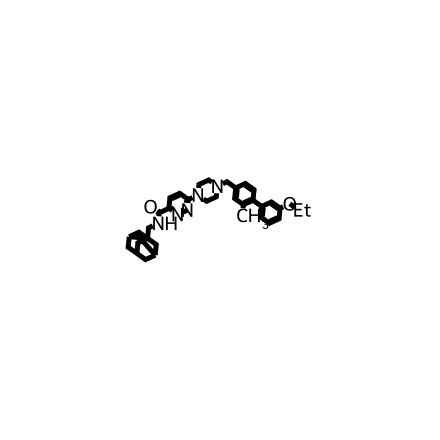 CCOc1cccc(-c2ccc(CN3CCN(c4ccc(C(=O)NCC56CC7CC(CC(C7)C5)C6)nn4)CC3)cc2C)c1